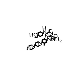 CCc1nc(C(N)=O)c(Nc2ccc(N3CCC(N4CCN(C)CC4)CC3)c(C)c2)nc1NC1CCC(O)(CC)CC1